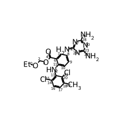 CCOCOC(=O)c1ccccc1Nc1c(Cl)ccc(C)c1Cl.Nc1nc(N)nc(N)n1